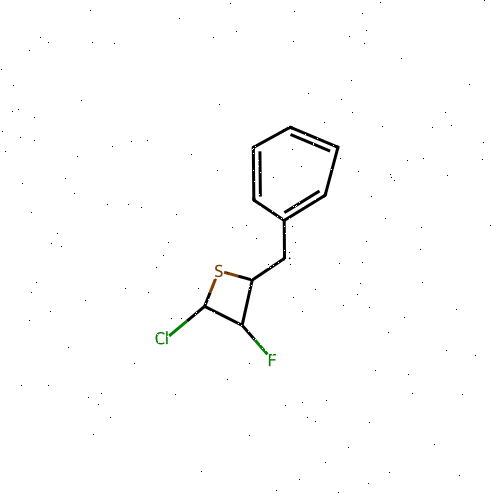 FC1C(Cl)SC1[CH]c1ccccc1